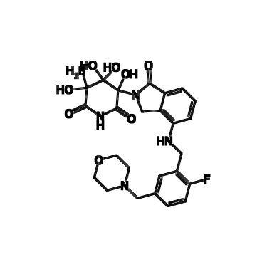 BC1(O)C(=O)NC(=O)C(O)(N2Cc3c(NCc4cc(CN5CCOCC5)ccc4F)cccc3C2=O)C1(O)O